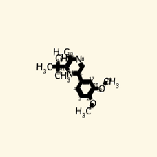 COc1ccc(-c2cnc(C)c(C(C)(C)C)n2)cc1OC